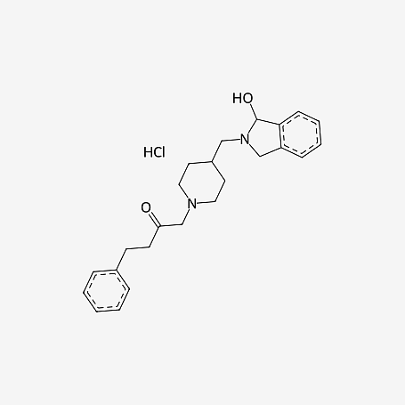 Cl.O=C(CCc1ccccc1)CN1CCC(CN2Cc3ccccc3C2O)CC1